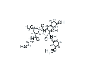 CCCN(C(=O)c1cc(C)cc(C(=O)NCCCO)c1)[C@@H](Cc1ccc(O)cc1)[C@H](O)CNCc1cccc(OC)c1